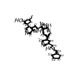 Oc1cc(F)cc(-c2cncc3[nH]c(-c4n[nH]c5ncc(-c6cncc(CNCC7CCCC7)c6)cc45)cc23)c1